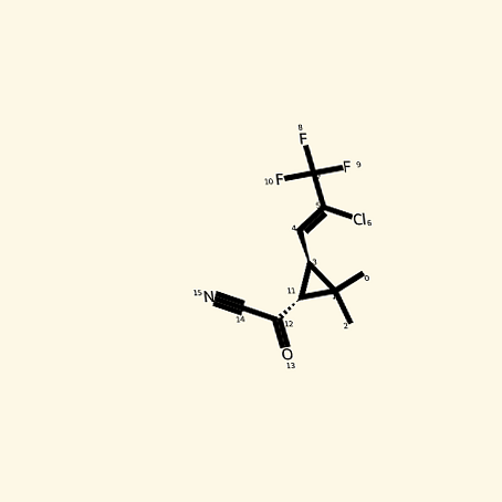 CC1(C)[C@H](/C=C(\Cl)C(F)(F)F)[C@H]1C(=O)C#N